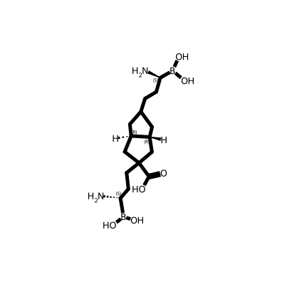 N[C@H](CCC1C[C@@H]2CC(CC[C@@H](N)B(O)O)(C(=O)O)C[C@H]2C1)B(O)O